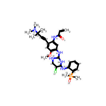 C=CC(=O)Nc1cc(NC2NCC(Cl)C(Nc3ccccc3P(C)(C)=O)N2)c(OC)cc1C#CC(C)(C)N(C)C